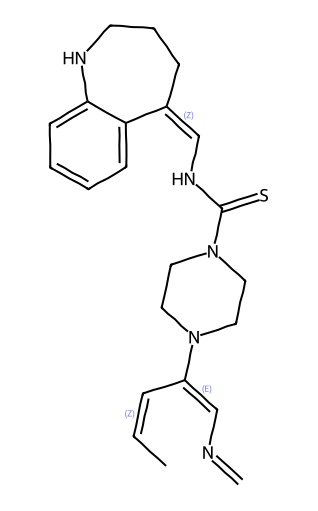 C=N/C=C(\C=C/C)N1CCN(C(=S)N/C=C2/CCCNc3ccccc32)CC1